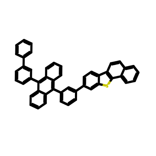 c1ccc(-c2cccc(-c3c4ccccc4c(-c4cccc(-c5ccc6c(c5)sc5c7ccccc7ccc65)c4)c4ccccc34)c2)cc1